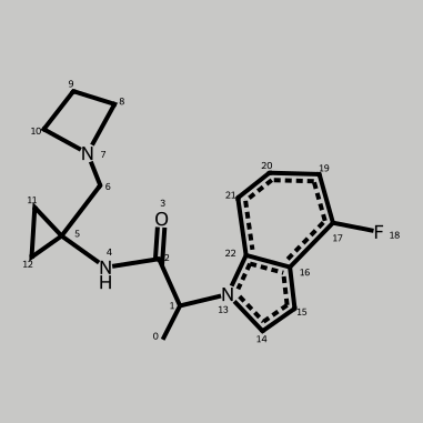 CC(C(=O)NC1(CN2CCC2)CC1)n1ccc2c(F)cccc21